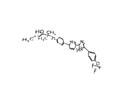 CC/C=C(\O)C(C)(C)COc1ccc(-c2ccc(-c3ncc(-c4ccc(OC(F)(F)F)cc4)[nH]3)cn2)cc1